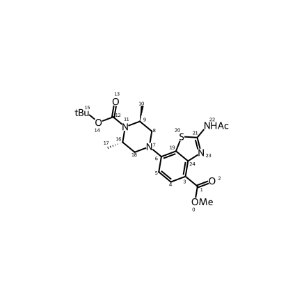 COC(=O)c1ccc(N2C[C@H](C)N(C(=O)OC(C)(C)C)[C@@H](C)C2)c2sc(NC(C)=O)nc12